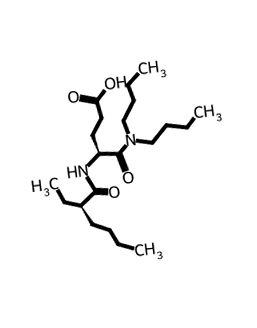 CCCC[C@@H](CC)C(=O)N[C@@H](CCC(=O)O)C(=O)N(CCCC)CCCC